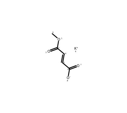 COC(=O)C=CC(=O)[O-].[K+]